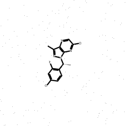 Cc1nn([C@H](C)c2ccc(Cl)cc2F)c2nc(Cl)cnc12